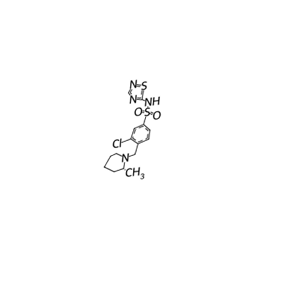 C[C@@H]1CCCCN1Cc1ccc(S(=O)(=O)Nc2ncns2)cc1Cl